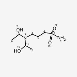 CC(O)N(CCCS(N)(=O)=O)C(C)O